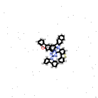 c1ccc2cc3c(cc2c1)c1ccccc1n3-c1ccc2sc3ccccc3c2c1-c1nc(-c2ccc3c(c2)oc2ccccc23)nc(-n2c3ccccc3c3ccccc32)n1